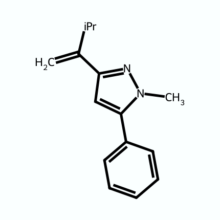 C=C(c1cc(-c2ccccc2)n(C)n1)C(C)C